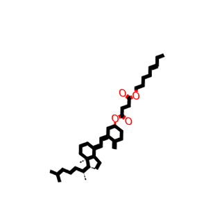 C=C1CC[C@H](OC(=O)CCC(=O)OCCCCC=CCC)C/C1=C/C=C1CCC[C@@]2(C)C1CC[C@@H]2[C@H](C)CCCC(C)C